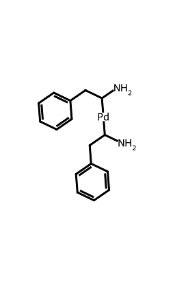 N[CH](Cc1ccccc1)[Pd][CH](N)Cc1ccccc1